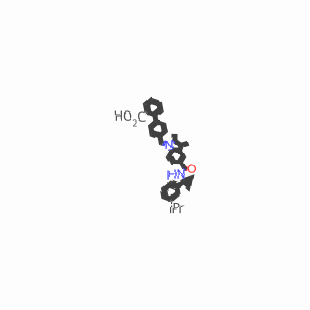 Cc1c(C)n(Cc2ccc(-c3ccccc3C(=O)O)cc2)c2ccc(C(=O)NC3(c4cccc(C(C)C)c4)CC3)cc12